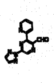 O=Cc1ncc(-n2nccn2)nc1-c1ccccn1